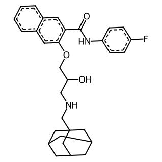 O=C(Nc1ccc(F)cc1)c1cc2ccccc2cc1OCC(O)CNCC12CC3CC(CC(C3)C1)C2